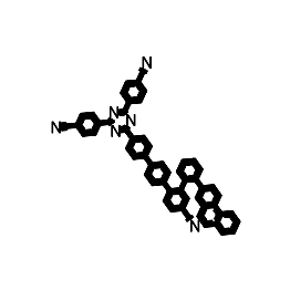 N#Cc1ccc(-c2nc(-c3ccc(C#N)cc3)nc(-c3ccc(-c4ccc(-c5ccc(C#N)cc5-c5ccccc5-c5ccc6c(ccc7ccccc76)c5)cc4)cc3)n2)cc1